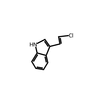 ClC=Cc1c[nH]c2ccccc12